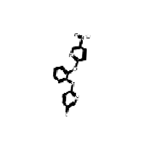 O=[N+]([O-])c1ccc(Oc2ccccc2Oc2ccc(Cl)cn2)nc1